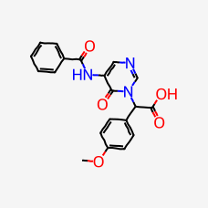 COc1ccc(C(C(=O)O)n2cncc(NC(=O)c3ccccc3)c2=O)cc1